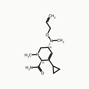 C=CCON(C)[C@@H]1C=C(C2CC2)[C@@H](C(N)=O)N(C)C1